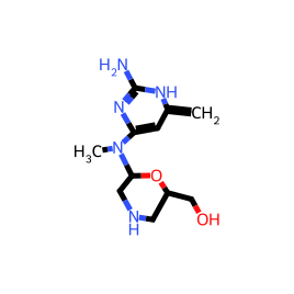 C=C1C=C(N(C)C2CNCC(CO)O2)N=C(N)N1